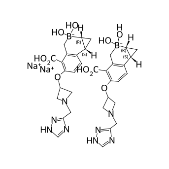 O=C(O)c1c(OC2CN(Cc3nc[nH]n3)C2)ccc2c1C[B-](O)(O)[C@@H]1C[C@H]21.O=C(O)c1c(OC2CN(Cc3nc[nH]n3)C2)ccc2c1C[B-](O)(O)[C@@H]1C[C@H]21.[Na+].[Na+]